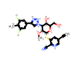 C#Cc1cnc(C#N)c(S[C@H]2OC(CO)[C@H](O)C(n3cc(-c4cc(F)c(C)c(F)c4)nn3)[C@@H]2OC)c1